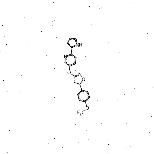 FC(F)(F)Oc1ccc([C@H]2CC(Oc3ccc(-c4ccc[nH]4)nc3)=NO2)cc1